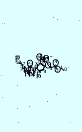 CCOC(=O)COc1cc(F)c(-n2nnn(CCCF)c2=O)cc1[N+](=O)[O-]